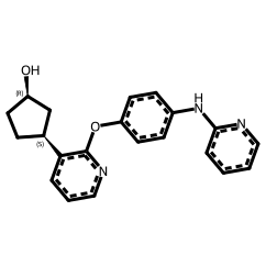 O[C@@H]1CC[C@H](c2cccnc2Oc2ccc(Nc3ccccn3)cc2)C1